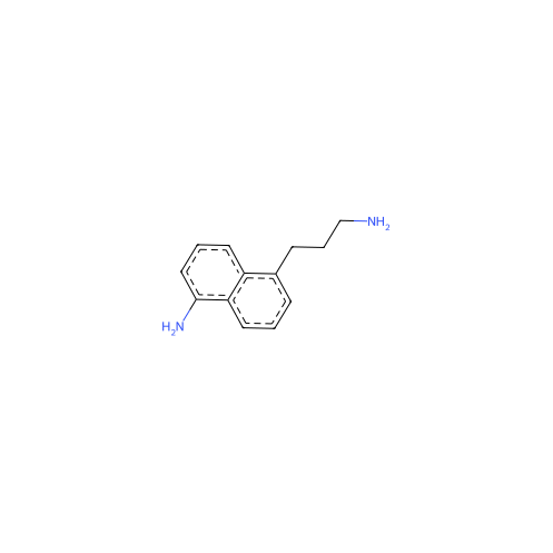 NCCCc1cccc2c(N)cccc12